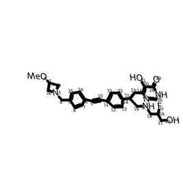 COC1CN(Cc2ccc(C#Cc3ccc(C(CNCC(F)CO)Cc4nc[nH]c(=O)c4O)cc3)cc2)C1